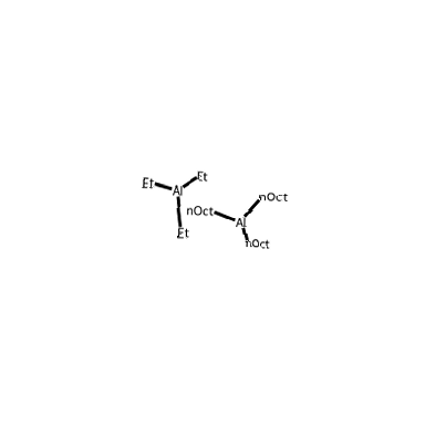 CCCCCCC[CH2][Al]([CH2]CCCCCCC)[CH2]CCCCCCC.C[CH2][Al]([CH2]C)[CH2]C